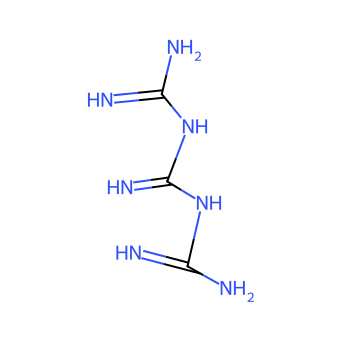 N=C(N)NC(=N)NC(=N)N